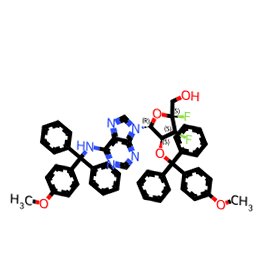 COc1ccc(C(Nc2ncnc3c2ncn3[C@@H]2O[C@](F)(CO)[C@@H](F)[C@H]2OC(c2ccccc2)(c2ccccc2)c2ccc(OC)cc2)(c2ccccc2)c2ccccc2)cc1